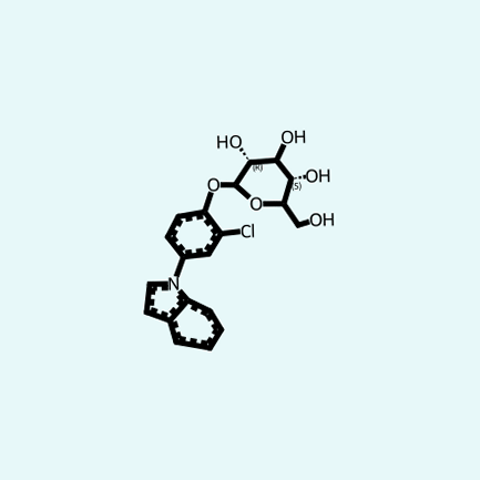 OCC1OC(Oc2ccc(-n3ccc4ccccc43)cc2Cl)[C@H](O)C(O)[C@@H]1O